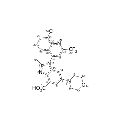 Cc1nc2c(C(=O)O)cc(N3CCOCC3)cc2n1-c1cc(C(F)(F)F)nc2c(Cl)cccc12